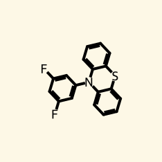 Fc1cc(F)cc(N2c3ccccc3Sc3ccccc32)c1